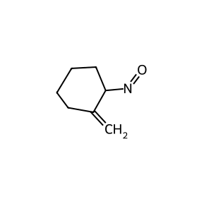 C=C1CCCCC1N=O